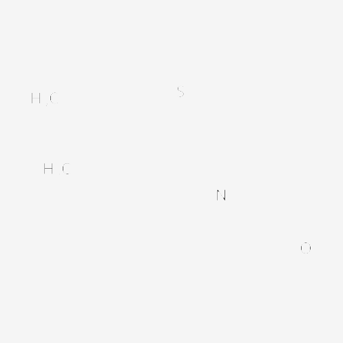 CC(C)c1csc2c1CCN(C1COC1)C2